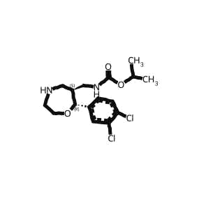 CC(C)OC(=O)NC[C@@H]1CNCCO[C@H]1c1ccc(Cl)c(Cl)c1